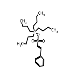 CCCCP(CCCC)(CCCC)(CCCC)OS(=O)(=O)C=Cc1ccccc1